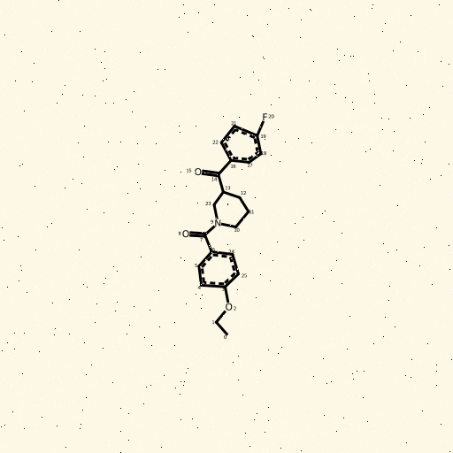 CCOc1ccc(C(=O)N2CCCC(C(=O)c3ccc(F)cc3)C2)cc1